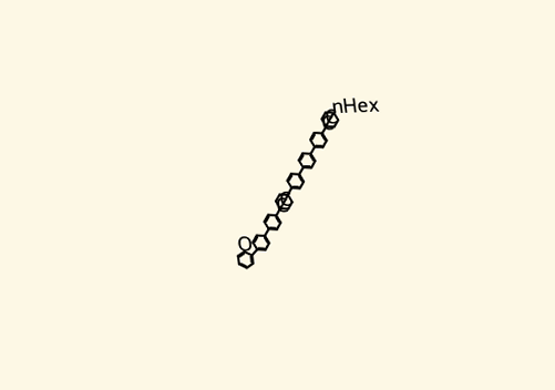 CCCCCCC12CCC(c3ccc(-c4ccc(-c5ccc(C67CCC(c8ccc(-c9ccc%10c(c9)oc9ccccc9%10)cc8)(CC6)CC7)cc5)cc4)cc3)(CC1)CC2